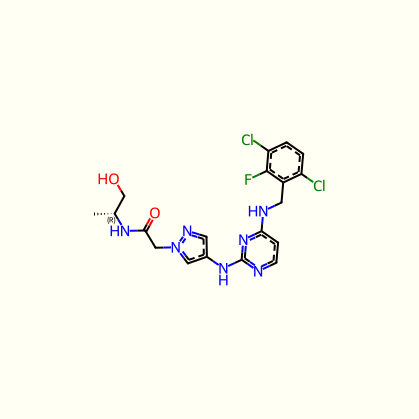 C[C@H](CO)NC(=O)Cn1cc(Nc2nccc(NCc3c(Cl)ccc(Cl)c3F)n2)cn1